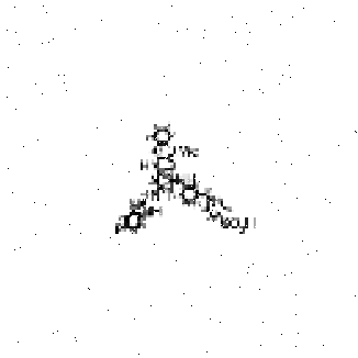 COC(=O)C(Cc1ccccc1)Nc1nc(NCc2nc3cc(F)ccc3[nH]2)nc(Nc2cccc(CN3CCN(C(=O)O)CC3)c2)n1